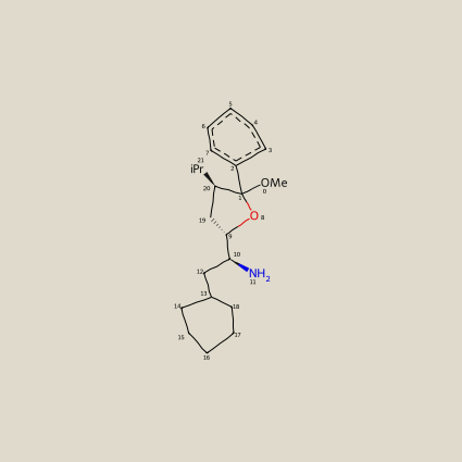 COC1(c2ccccc2)O[C@H]([C@@H](N)CC2CCCCC2)C[C@H]1C(C)C